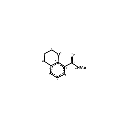 CNC(=O)c1cccc2c1OCCC2